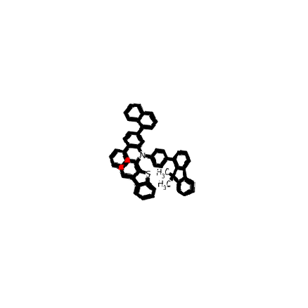 CC1(C)c2ccccc2-c2cccc(-c3ccc(N(c4cc(-c5cccc6ccccc56)ccc4-c4ccccc4)c4cccc5c4sc4ccccc45)cc3)c21